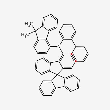 CC1(C)c2ccccc2-c2c(N(c3ccccc3-c3ccccc3)c3cccc4c3-c3ccccc3C43c4ccccc4-c4ccccc43)cccc21